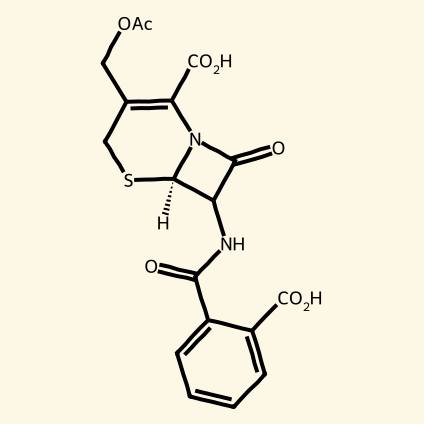 CC(=O)OCC1=C(C(=O)O)N2C(=O)C(NC(=O)c3ccccc3C(=O)O)[C@H]2SC1